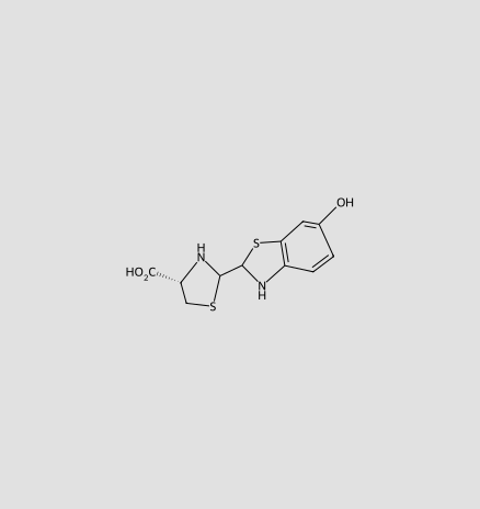 O=C(O)[C@H]1CSC(C2Nc3ccc(O)cc3S2)N1